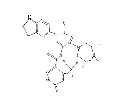 C[C@@H]1CN(c2cc(F)c(-c3cnc4c(c3)CCN4)cc2NC(=O)c2c[nH]c(=O)cc2C(F)(F)F)C[C@H](C)N1C